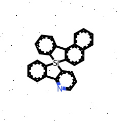 c1ccc2c(c1)-c1ncccc1[Si]21c2ccccc2-c2c1ccc1ccccc21